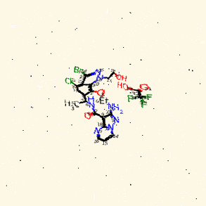 CCOc1c(C(C)NC(=O)c2c(N)nn3cccnc23)cc(Cl)c2c(Br)nn(CCO)c12.O=C(O)C(F)(F)F